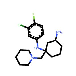 NC1CCCC(CN2CCCCC2)(Nc2ccc(F)c(Cl)c2)C1